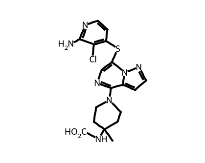 CC1(NC(=O)O)CCN(c2ncc(Sc3ccnc(N)c3Cl)n3nccc23)CC1